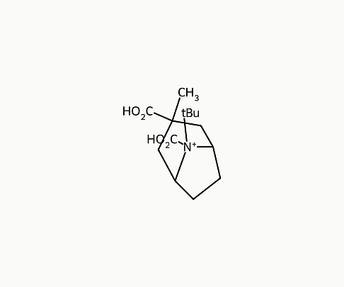 CC1(C(=O)O)CC2CCC(C1)[N+]2(C(=O)O)C(C)(C)C